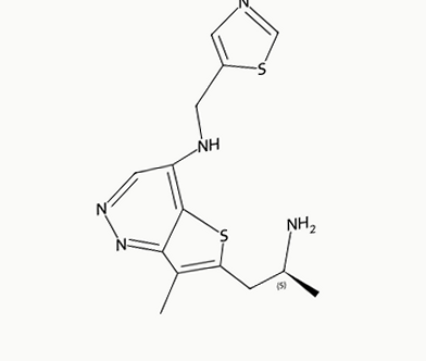 Cc1c(C[C@H](C)N)sc2c(NCc3cncs3)cnnc12